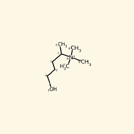 CC(CCCO)[N+](C)(C)C